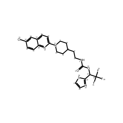 O=C(NCCC1CCN(c2ccc3cc(Cl)ccc3n2)CC1)OC(c1nccs1)C(F)(F)F